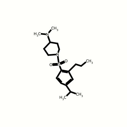 CCCc1cc(C(C)C)ccc1S(=O)(=O)N1CCC(N(C)C)CC1